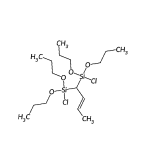 CC=CC([Si](Cl)(OCCC)OCCC)[Si](Cl)(OCCC)OCCC